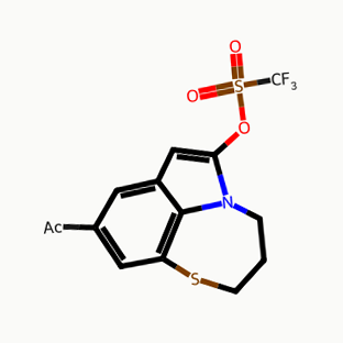 CC(=O)c1cc2c3c(c1)cc(OS(=O)(=O)C(F)(F)F)n3CCCS2